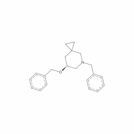 c1ccc(CO[C@@H]2CN(Cc3ccccc3)CC3(CC3)C2)cc1